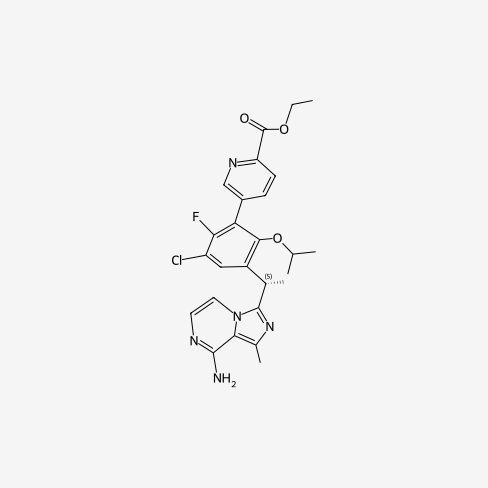 CCOC(=O)c1ccc(-c2c(F)c(Cl)cc([C@H](C)c3nc(C)c4c(N)nccn34)c2OC(C)C)cn1